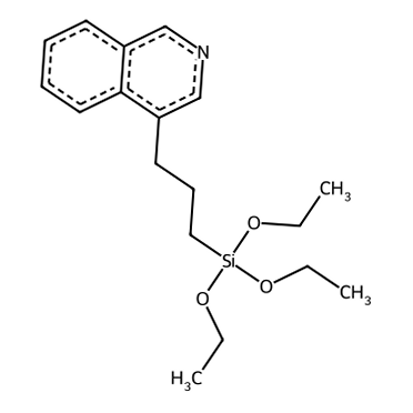 CCO[Si](CCCc1cncc2ccccc12)(OCC)OCC